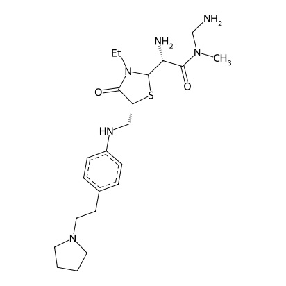 CCN1C(=O)[C@@H](CNc2ccc(CCN3CCCC3)cc2)SC1[C@H](N)C(=O)N(C)CN